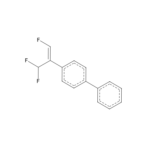 FC=C(c1ccc(-c2ccccc2)cc1)C(F)F